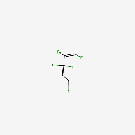 FCCC(F)(F)C(F)=C(F)F